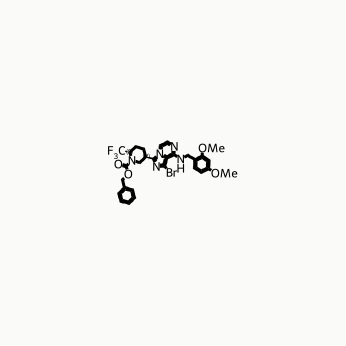 COc1ccc(CNc2nccn3c([C@@H]4CC[C@@H](C(F)(F)F)N(C(=O)OCc5ccccc5)C4)nc(Br)c23)c(OC)c1